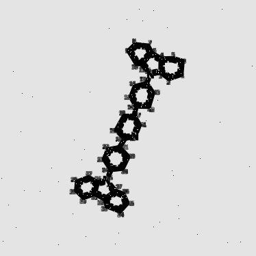 c1ccc2c(c1)c1ccccc1n2-c1ccc(-c2ccc(-c3ccc(-n4c5ccccc5c5ccccc54)cc3)nc2)cc1